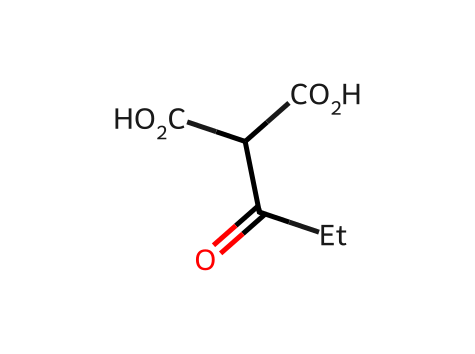 CCC(=O)C(C(=O)O)C(=O)O